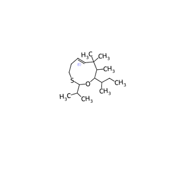 CCC(C)C1OC(C(C)C)SCC/C=C/C(C)(C)C1C